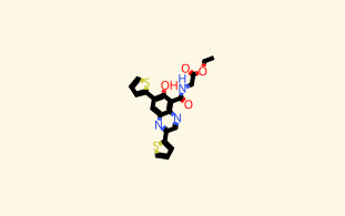 CCOC(=O)CNC(=O)c1c(O)c(-c2cccs2)cc2nc(-c3cccs3)cnc12